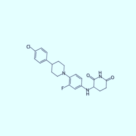 O=C1CCC(Nc2ccc(N3CCC(c4ccc(Cl)cc4)CC3)c(F)c2)C(=O)N1